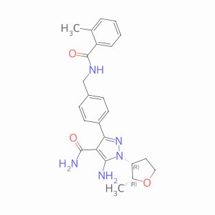 Cc1ccccc1C(=O)NCc1ccc(-c2nn([C@@H]3CCO[C@@H]3C)c(N)c2C(N)=O)cc1